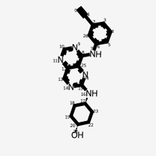 C#Cc1cccc(Nc2ncnc3cnc(N[C@H]4CC[C@@H](O)CC4)nc23)c1